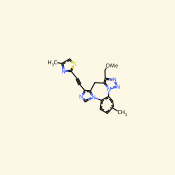 COCc1nnn2c1Cc1c(C#Cc3nc(C)cs3)ncn1-c1ccc(C)cc1-2